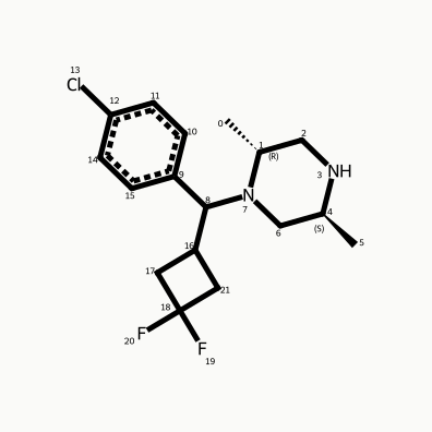 C[C@@H]1CN[C@@H](C)CN1C(c1ccc(Cl)cc1)C1CC(F)(F)C1